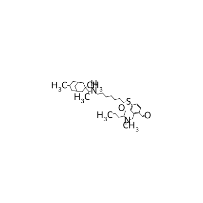 CCCC(C=O)N(C)Cc1cc(SCCCCCCCNC(C)C2(C)CC3CC(C)CC(C3)C2)ccc1C=O